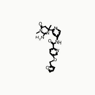 CN1C(=O)CC(C)(c2cc(NC(=O)c3ccc(OCc4ccco4)cn3)ccn2)N=C1N